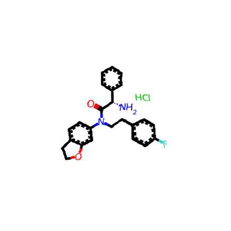 Cl.N[C@H](C(=O)N(CCc1ccc(F)cc1)c1ccc2c(c1)OCC2)c1ccccc1